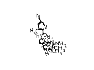 Cc1cc(C#N)cnc1C(=O)Nc1ccc(F)c(C2(C)N=C(N)C(C)(C)[SH]3(=O)NCC[C@H]23)n1